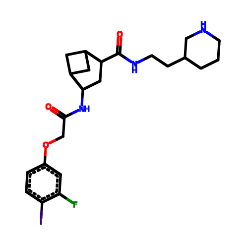 O=C(COc1ccc(I)c(F)c1)NC1CC(C(=O)NCCC2CCCNC2)C2CC1C2